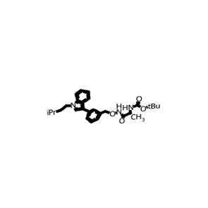 CC(C)CCn1cc(-c2cccc(CONC(=O)C(C)NC(=O)OC(C)(C)C)c2)c2ccccc21